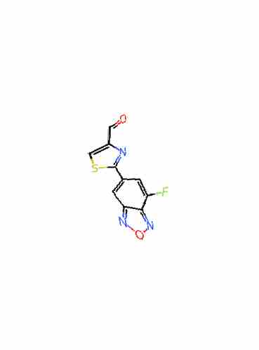 O=Cc1csc(-c2cc(F)c3nonc3c2)n1